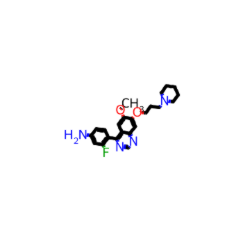 COc1cc2c(-c3ccc(N)cc3F)ncnc2cc1OCCCN1CCCCC1